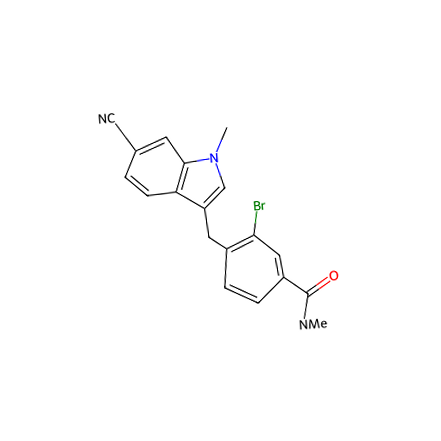 CNC(=O)c1ccc(Cc2cn(C)c3cc(C#N)ccc23)c(Br)c1